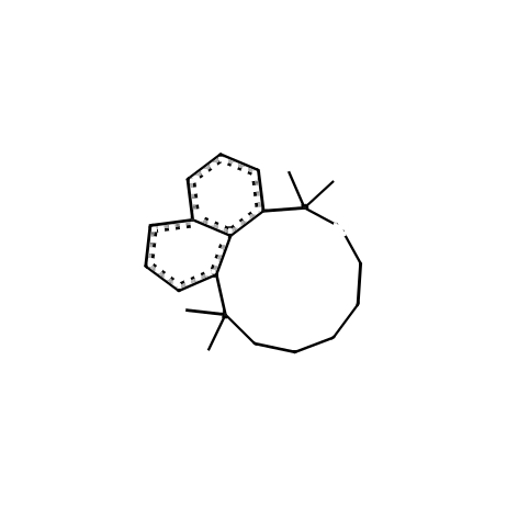 CC1(C)CCCCCNC(C)(C)c2cccc3cccc1c23